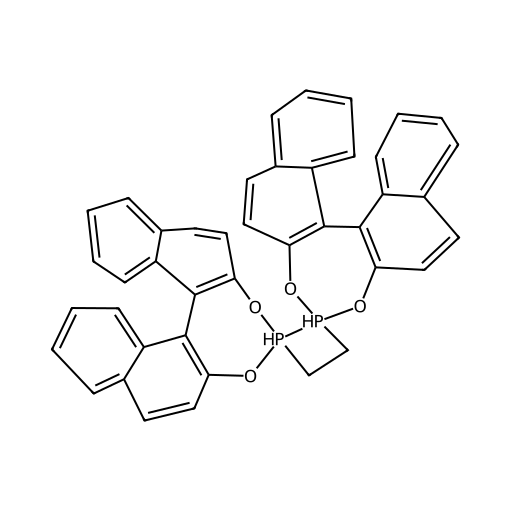 c1ccc2c3c(ccc2c1)O[PH]1(CC[PH]12Oc1ccc4ccccc4c1-c1c(ccc4ccccc14)O2)Oc1ccc2ccccc2c1-3